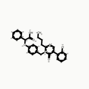 CCCCc1ncc(-c2ccccc2Cl)c(=O)n1Cc1ccc(OC(C(=O)O)c2ccccc2)cc1